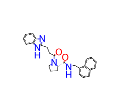 O=C(NCc1cccc2ccccc12)[C@@H]1CCCN1C(=O)CCc1nc2ccccc2[nH]1